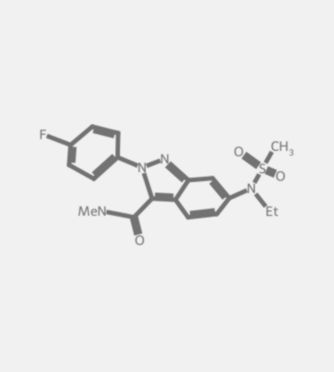 CCN(c1ccc2c(C(=O)NC)n(-c3ccc(F)cc3)nc2c1)S(C)(=O)=O